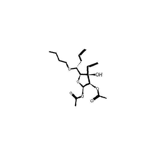 C=CC[C@@H](OCCCC)[C@@H]1O[C@H](OC(C)=O)[C@H](OC(C)=O)[C@@]1(O)C=C